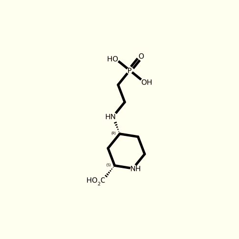 O=C(O)[C@@H]1C[C@H](NCCP(=O)(O)O)CCN1